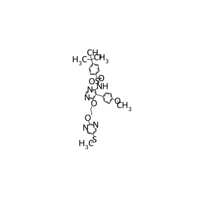 COc1ccc(-c2c(NS(=O)(=O)c3ccc(C(C)(C)C)cc3)ncnc2OCCOc2ncc(SC)cn2)cc1